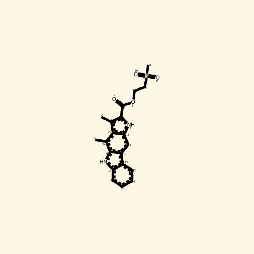 Cc1c(C(=O)OCCS(C)(=O)=O)[nH]c2cc3c([nH]c4ccccc43)c(C)c12